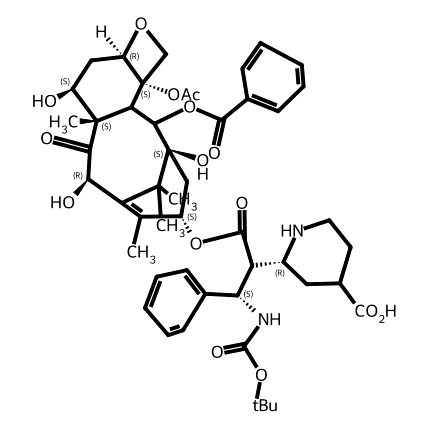 CC(=O)O[C@@]12CO[C@@H]1C[C@H](O)[C@@]1(C)C(=O)[C@H](O)C3=C(C)[C@@H](OC(=O)C([C@H](NC(=O)OC(C)(C)C)c4ccccc4)[C@H]4CC(C(=O)O)CCN4)C[C@@](O)(C(OC(=O)c4ccccc4)C12)C3(C)C